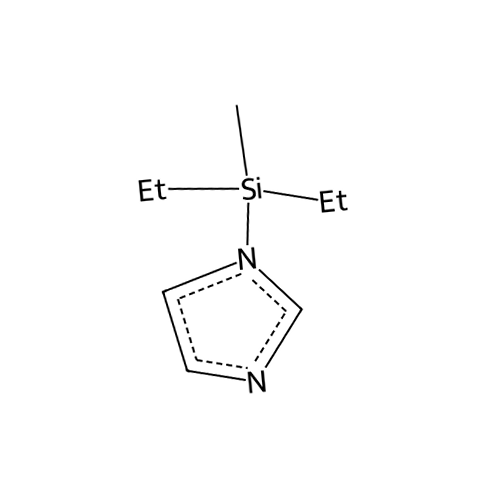 CC[Si](C)(CC)n1ccnc1